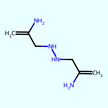 C=C(N)CNNCC(=C)N